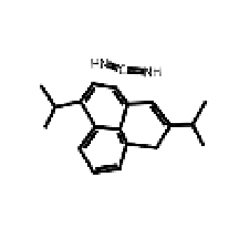 CC(C)C1=Cc2ccc(C(C)C)c3cccc(c23)C1.N=C=N